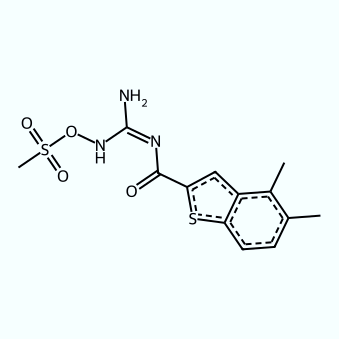 Cc1ccc2sc(C(=O)N=C(N)NOS(C)(=O)=O)cc2c1C